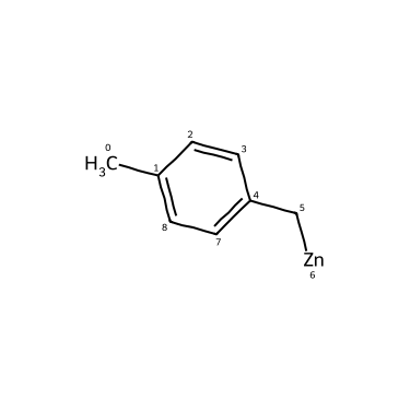 Cc1ccc([CH2][Zn])cc1